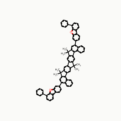 CC1(C)c2cc3c(cc2-c2cc4c(cc21)-c1c(cc(-c2ccc5c(c2)oc2c(-c6ccccc6)cccc25)c2ccccc12)C4(C)C)C(C)(C)c1cc(-c2ccc4c(c2)oc2c(-c5ccccc5)cccc24)c2ccccc2c1-3